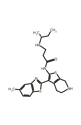 CC[C@H](C)NCCC(=O)Nc1sc2c(c1-c1nc3cc(C)ccc3s1)CCNC2